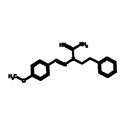 COc1ccc(/C=N/N(CCc2ccccc2)C(=N)N)cc1